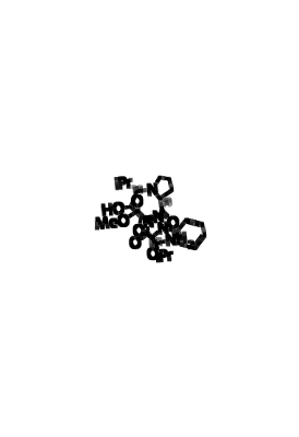 COC(=O)N(C(=O)[C@@H](N)C(C)C)C(=O)[C@@H]1CCCN1[C@@H](C(C)C)C(O)c1nn(-c2ccccc2)c(=O)o1